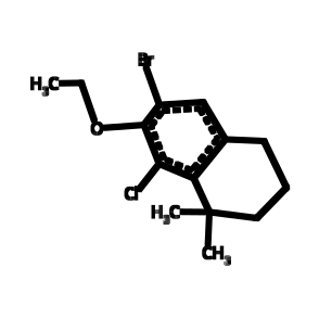 CCOc1c(Br)cc2c(c1Cl)C(C)(C)CCC2